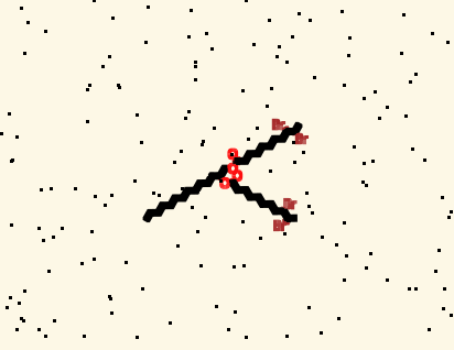 CCCCCCCCCCCCC(COC(=O)CCCCCCCC(Br)C(C)Br)OC(=O)CCCCCCCC(Br)C(C)Br